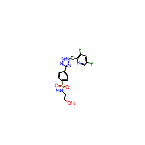 O=S(=O)(NCCO)c1ccc(-c2nnn(Cc3ncc(F)cc3F)n2)cc1